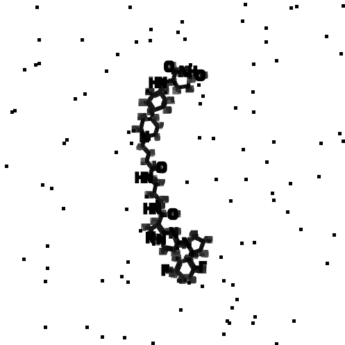 O=C(CCCN1CCC(c2ccc(NC3CCC(=O)NC3=O)cc2)CC1)NCCCNC(=O)c1cnn2ccc(N3CCC[C@@H]3c3cc(F)ccc3F)nc12